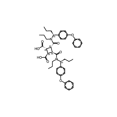 CCC[C@@H](c1ccc(Oc2ccccc2)cc1)N(CCC)C(=O)[C@H]1[C@@H](C(=O)O)[C@H](C(=O)O)[C@@H]1C(=O)N(CCC)[C@@H](CCC)c1ccc(Oc2ccccc2)cc1